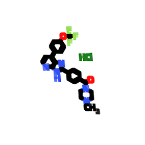 CN1CCN(C(=O)c2ccc(-c3nc4c(-c5ccc(OC(F)(F)F)cc5)ccnc4[nH]3)cc2)CC1.Cl